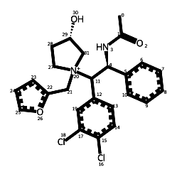 CC(=O)N[C@@H](c1ccccc1)C(c1ccc(Cl)c(Cl)c1)[N+]1(Cc2ccco2)CC[C@H](O)C1